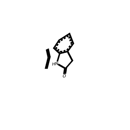 C=C=C.O=C1Cc2ccccc2N1